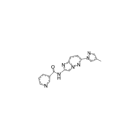 Cc1cnn(-c2ccc3nc(NC(=O)c4cccnc4)cn3n2)c1